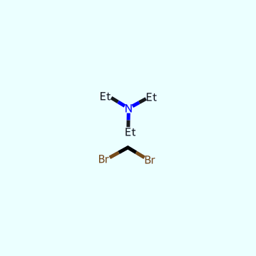 BrCBr.CCN(CC)CC